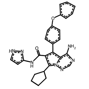 Nc1ncnn2c(C3CCCC3)c(C(=O)Nc3cc[nH]n3)c(-c3ccc(Oc4ccccc4)cc3)c12